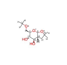 CC(C)(C)OC[C@H]1OC2OC(C)(C)C[C@@H]2[C@@H](O)[C@@H]1O